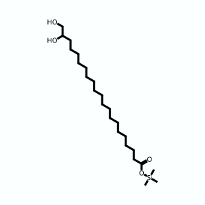 C[Si](C)(C)OC(=O)CCCCCCCCCCCCCCCCCCC(O)CO